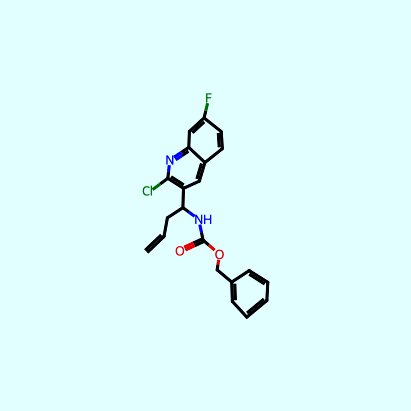 C=CCC(NC(=O)OCc1ccccc1)c1cc2ccc(F)cc2nc1Cl